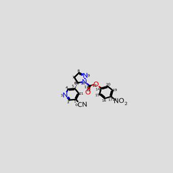 N#Cc1cncc([C@@H]2CC=NN2C(=O)Oc2ccc([N+](=O)[O-])cc2)c1